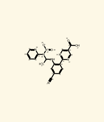 CC(Nc1cc(C#N)ccc1-c1ncc(C(=O)O)cn1)N(c1ccccn1)[N+](=O)[O-]